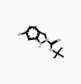 CC(C)(C)OC(=O)N1Cc2ccc(F)cc2S1